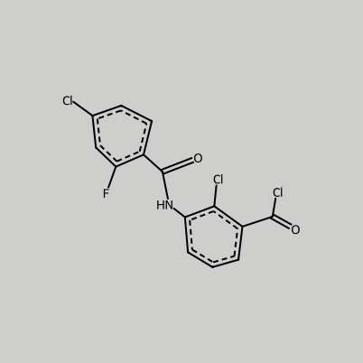 O=C(Nc1cccc(C(=O)Cl)c1Cl)c1ccc(Cl)cc1F